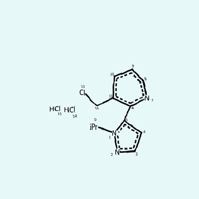 CC(C)n1nccc1-c1ncccc1CCl.Cl.Cl